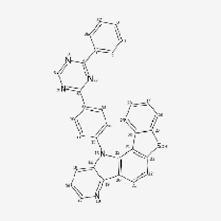 c1ccc(-c2ncnc(-c3ccc(-n4c5cccnc5c5ccc6sc7ccccc7c6c54)cc3)n2)cc1